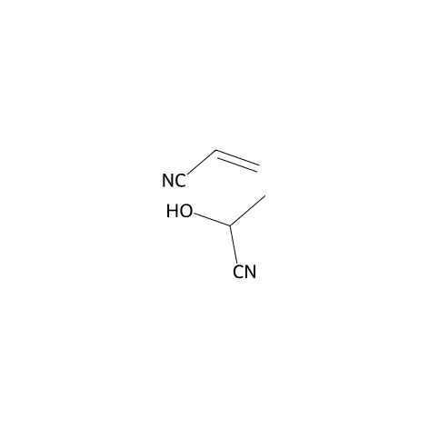 C=CC#N.CC(O)C#N